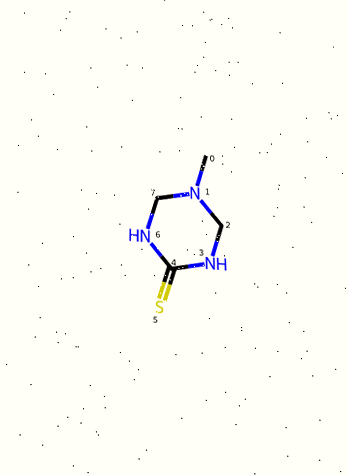 CN1CNC(=S)NC1